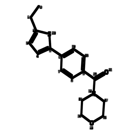 CCc1ccc(-c2ccc(C(=O)N3CCOCC3)cc2)s1